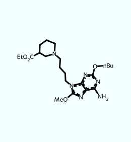 CCCCOc1nc(N)c2nc(OC)n(CCCCN3CCCC(C(=O)OCC)C3)c2n1